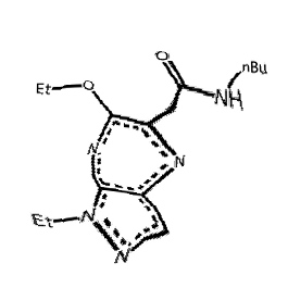 CCCCNC(=O)c1nc2cnn(CC)c2nc1OCC